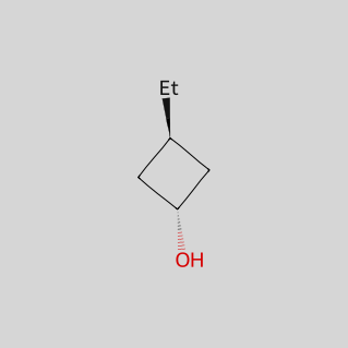 CC[C@H]1C[C@H](O)C1